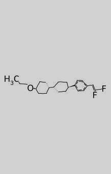 CCCO[C@H]1CC[C@H]([C@H]2CC[C@H](c3ccc(C=C(F)F)cc3)CC2)CC1